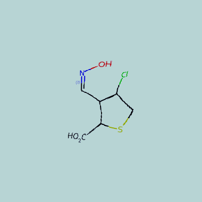 O=C(O)C1SCC(Cl)C1/C=N\O